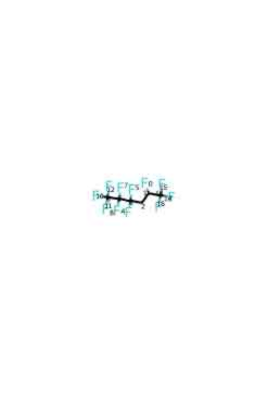 FC(CC(F)(F)C(F)(F)C(F)(F)F)C(F)(F)F